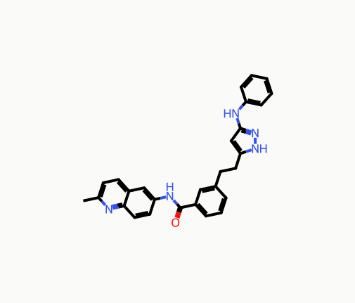 Cc1ccc2cc(NC(=O)c3cccc(CCc4cc(Nc5ccccc5)n[nH]4)c3)ccc2n1